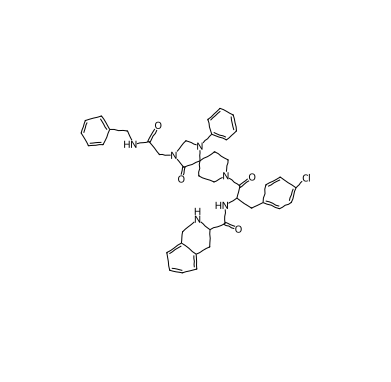 O=C(CN1CN(c2ccccc2)C2(CCN(C(=O)C(Cc3ccc(Cl)cc3)NC(=O)C3Cc4ccccc4CN3)CC2)C1=O)NCc1ccccc1